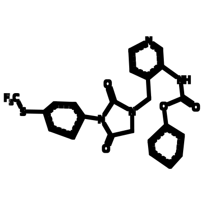 O=C(Nc1cnccc1CN1CC(=O)N(c2ccc(SC(F)(F)F)cc2)C1=O)Oc1ccccc1